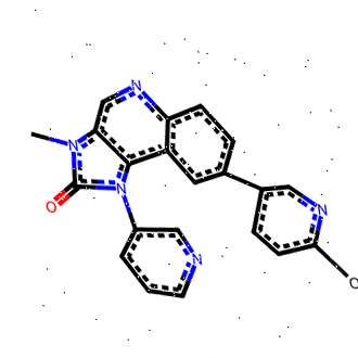 COc1ccc(-c2ccc3ncc4c(c3c2)n(-c2cccnc2)c(=O)n4C)cn1